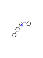 C1=C(c2ccc(-c3ccccc3)cc2)N2CCc3ccccc3N=C2S1